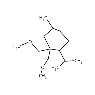 COCC1(COC)CC(C)CCC1C(C)C